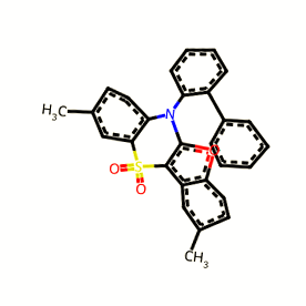 Cc1ccc2c(c1)S(=O)(=O)c1c(oc3ccc(C)cc13)N2c1ccccc1-c1ccccc1